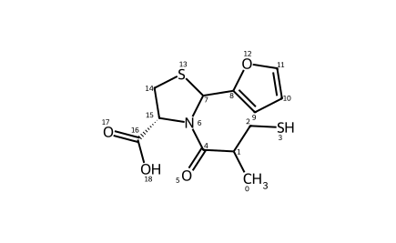 CC(CS)C(=O)N1C(c2ccco2)SC[C@H]1C(=O)O